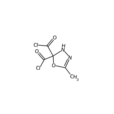 CC1=NNC(C(=O)Cl)(C(=O)Cl)O1